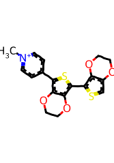 C[n+]1ccc(-c2sc(-c3scc4c3OCCO4)c3c2OCCO3)cc1